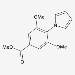 COC(=O)c1cc(OC)c(-n2cccc2)c(OC)c1